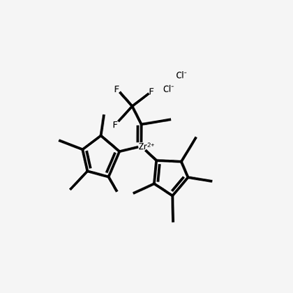 CC1=C(C)C(C)[C]([Zr+2]([C]2=C(C)C(C)=C(C)C2C)=[C](C)C(F)(F)F)=C1C.[Cl-].[Cl-]